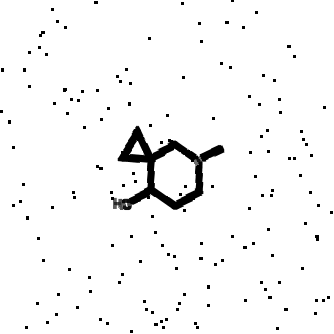 CN1CCC(O)C2(CC2)C1